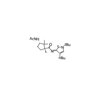 CCCCc1cn(C(C)(C)C)s/c1=N\C(=O)[C@]1(C)CC[C@H](NC(C)=O)C1(C)C